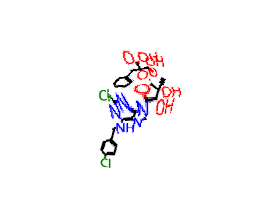 C#C[C@@]1(O)[C@@H](COC(Cc2ccccc2)(C(=O)O)C(=O)O)O[C@@H](n2cnc3c(NCc4ccc(Cl)cc4)nc(Cl)nc32)[C@@H]1O